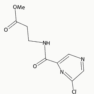 COC(=O)CCNC(=O)c1cncc(Cl)n1